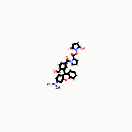 CN(C)c1ccc2c(c1)OC1=CCC=CC1=C2c1cc(C(=O)N2CCCC2C(=O)ON2C(=O)CCC2O)ccc1C=O